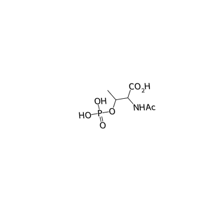 CC(=O)NC(C(=O)O)C(C)OP(=O)(O)O